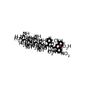 N=C(N)NC(NC(=O)C(NC(=N)N)NC(=O)C(NC(=N)N)NC(=O)C(NC(=N)N)NC(=O)C(NC(=O)C(O)C(Cc1c(Cl)cccc1Cl)c1c(C(=O)O)cc([N+](=O)[O-])cc1[N+](=O)[O-])c1ccccc1)C(N)=O